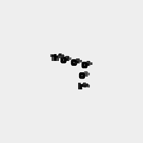 [Ir+4].[O-2].[O-2].[O-2].[O-2].[Th+4]